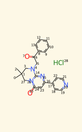 CC1(C)CN(CC(=O)c2ccccc2)c2nc(-c3ccncc3)cc(=O)n2C1.Cl